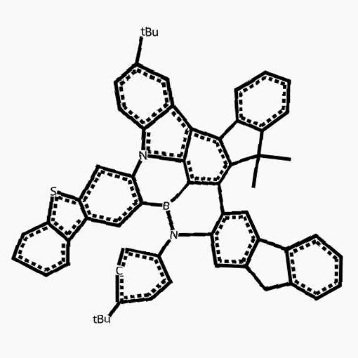 CC(C)(C)c1ccc(N2B3c4cc5c(cc4-n4c6ccc(C(C)(C)C)cc6c6c7c(c(c3c64)-c3cc4c(cc32)Cc2ccccc2-4)C(C)(C)c2ccccc2-7)sc2ccccc25)cc1